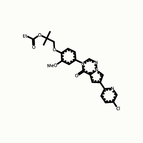 CCC(=O)OC(C)(C)COc1ccc(-n2cnn3cc(-c4ccc(Cl)cn4)cc3c2=O)cc1OC